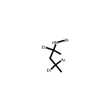 CCC(C)(CC(C)(CC)C(C)=O)NC(C)C